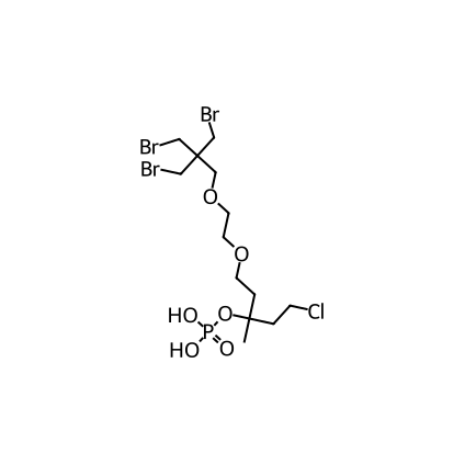 CC(CCCl)(CCOCCOCC(CBr)(CBr)CBr)OP(=O)(O)O